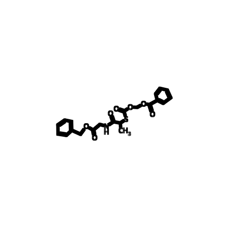 CC(SC(=O)OCOC(=O)c1ccccc1)C(=O)NCC(=O)OCc1ccccc1